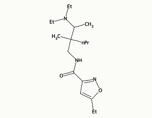 CCCC(C)(CNC(=O)c1cc(CC)on1)C(C)N(CC)CC